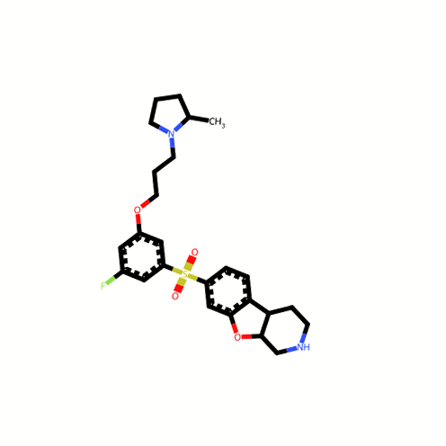 CC1CCCN1CCCOc1cc(F)cc(S(=O)(=O)c2ccc3c(c2)OC2CNCCC32)c1